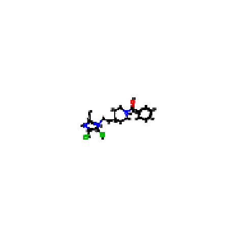 Cc1nc(Cl)c(Cl)n1CCC1CCN(C(=O)c2ccccc2)CC1